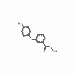 CCCCOC(=O)c1cc(Oc2ccc(N)cc2)ccn1